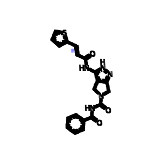 O=C(/C=C/c1cccs1)Nc1[nH]nc2c1CN(C(=O)NC(=O)c1ccccc1)C2